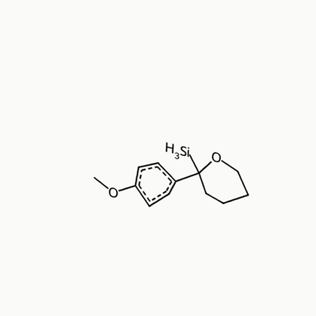 COc1ccc(C2([SiH3])CCCCO2)cc1